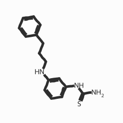 NC(=S)Nc1cccc(NCCCc2ccccc2)c1